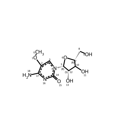 COc1cn([C@@H]2O[C@H](CO)C(O)[C@@H]2O)c(=O)nc1N